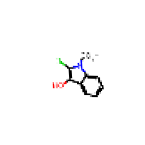 O=C(O)n1c(Cl)c(O)c2ccccc21